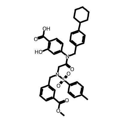 COC(=O)c1cccc(CN(CC(=O)N(Cc2ccc(C3CCCCC3)cc2)c2ccc(C(=O)O)c(O)c2)S(=O)(=O)c2ccc(C)cc2)c1